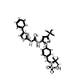 CC(C)(C)c1cc(NC(=O)Nc2nc(-c3ccccc3)cs2)n(-c2ccc(CN3C(C)(C)CNS3(=O)=O)cc2)n1